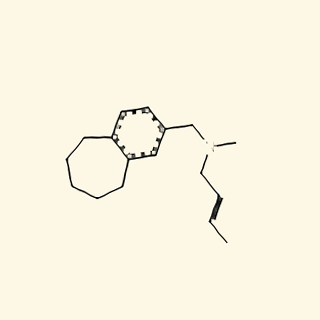 C/C=C/CN(C)Cc1ccc2c(c1)CCCCC2